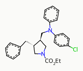 CCOC(=O)N1C[C@H](CN(c2ccccc2)c2ccc(Cl)cc2)[C@@H](Cc2ccccc2)C1